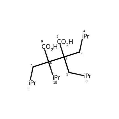 CC(C)CC(CC(C)C)(C(=O)O)C(CC(C)C)(C(=O)O)C(C)C